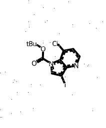 CC(C)(C)OC(=O)n1cc(I)c2nccc(Cl)c21